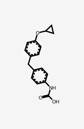 O=C(O)Nc1ccc(Cc2ccc(OC3CC3)cc2)cc1